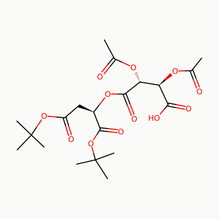 CC(=O)O[C@@H](C(=O)O)[C@@H](OC(C)=O)C(=O)O[C@H](CC(=O)OC(C)(C)C)C(=O)OC(C)(C)C